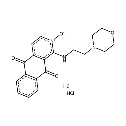 Cl.Cl.O=C1c2ccccc2C(=O)c2c1cc[n+]([O-])c2NCCN1CCOCC1